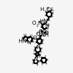 CC(C)c1ccccc1[C@H]1CCCN1C1CC2(CCN(c3ccc(C(=O)NS(=O)(=O)c4cnc(NCC5CCC(C)(F)CC5)c([N+](=O)[O-])c4)c(Oc4cnc5[nH]ccc5c4)c3)CC2)C1